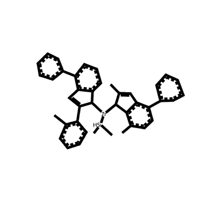 CC1=Cc2c(-c3ccccc3)ccc(C)c2[CH]1[Zr]([CH]1C(c2ccccc2C)=Cc2c(-c3ccccc3)cccc21)[SiH](C)C